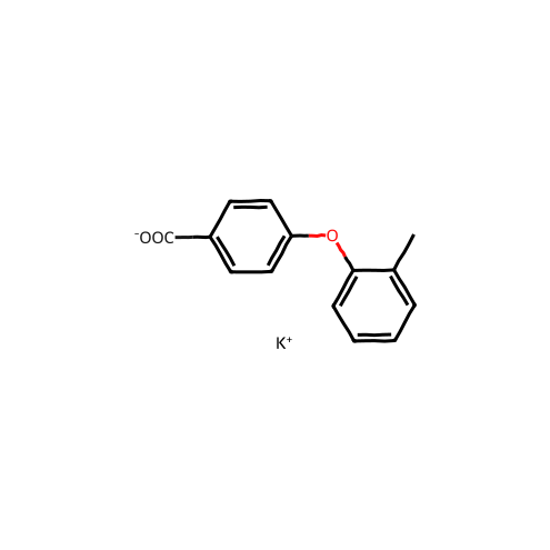 Cc1ccccc1Oc1ccc(C(=O)[O-])cc1.[K+]